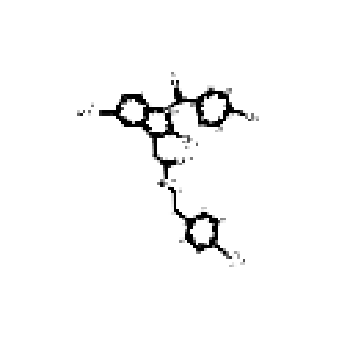 COc1ccc2c(c1)c(CC(=O)NCCc1ccc([N+](=O)[O-])cc1)c(C)n2C(=O)c1ccc(Cl)cc1